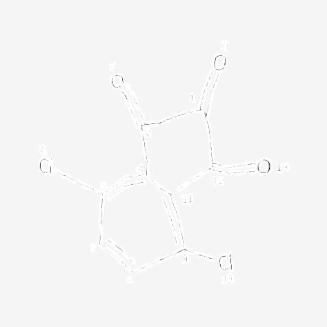 O=c1c(=O)c2c(Cl)ccc(Cl)c2c1=O